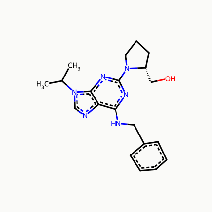 CC(C)n1cnc2c(NCc3ccccc3)nc(N3CCC[C@@H]3CO)nc21